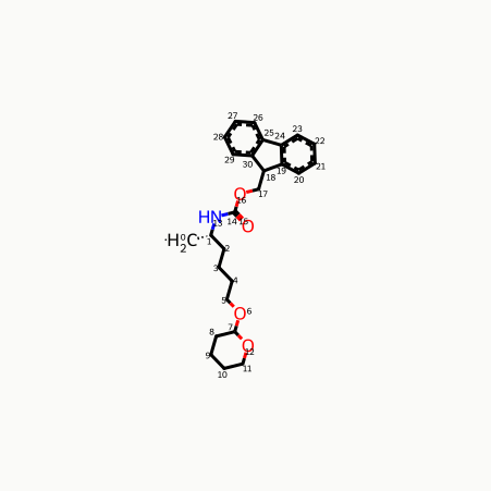 [CH2][C@@H](CCCCOC1CCCCO1)NC(=O)OCC1c2ccccc2-c2ccccc21